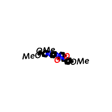 COc1ccc(CN2C(=O)CCN(c3ccc(N4CCC(C(OC)OC)CC4)cc3)C2=O)cc1